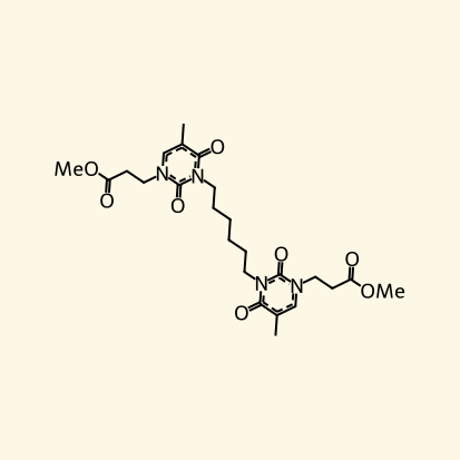 COC(=O)CCn1cc(C)c(=O)n(CCCCCCn2c(=O)c(C)cn(CCC(=O)OC)c2=O)c1=O